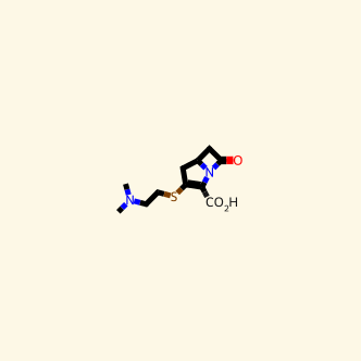 CN(C)CCSC1=C(C(=O)O)N2C(=O)CC2C1